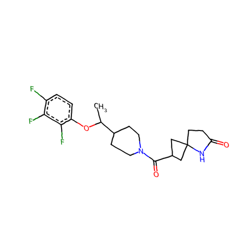 CC(Oc1ccc(F)c(F)c1F)C1CCN(C(=O)C2CC3(CCC(=O)N3)C2)CC1